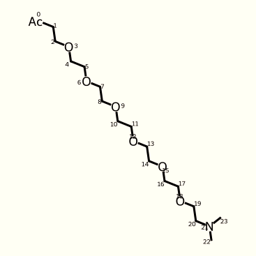 CC(=O)CCOCCOCCOCCOCCOCCOCCN(C)C